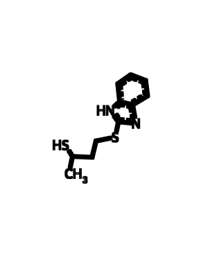 CC(S)CCSc1nc2ccccc2[nH]1